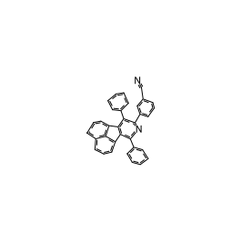 N#Cc1cccc(-c2nc(-c3ccccc3)c3c(c2-c2ccccc2)-c2cccc4cccc-3c24)c1